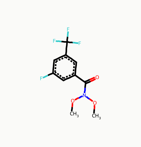 CON(OC)C(=O)c1cc(F)cc(C(F)(F)F)c1